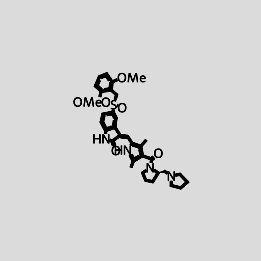 COc1cccc(OC)c1CS(=O)(=O)c1ccc2c(c1)/C(=C/c1[nH]c(C)c(C(=O)N3CCC[C@@H]3CN3CCCC3)c1C)C(=O)N2